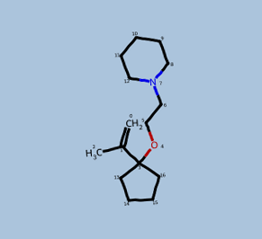 C=C(C)C1(OCCN2CCCCC2)CCCC1